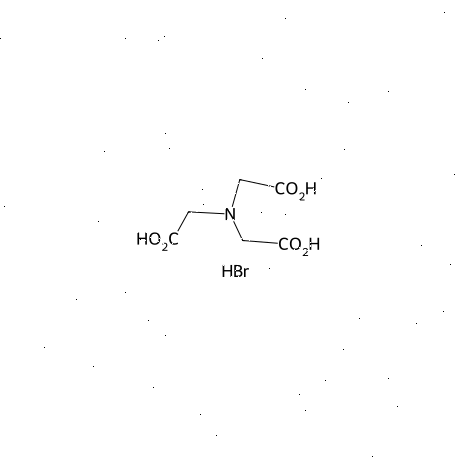 Br.O=C(O)CN(CC(=O)O)CC(=O)O